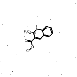 O=C(OCl)C1=Cc2ccccc2N[C@@H]1C(F)(F)F